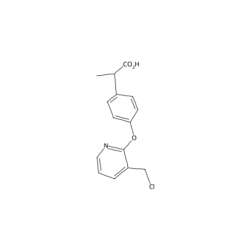 CC(C(=O)O)c1ccc(Oc2ncccc2CCl)cc1